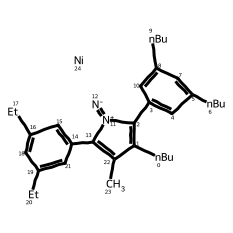 CCCCC1=C(c2cc(CCCC)cc(CCCC)c2)[N+](=[N-])C(c2cc(CC)cc(CC)c2)=C1C.[Ni]